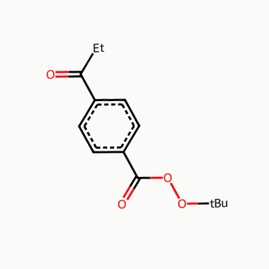 CCC(=O)c1ccc(C(=O)OOC(C)(C)C)cc1